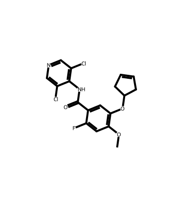 COc1cc(F)c(C(=O)Nc2c(Cl)cncc2Cl)cc1OC1CC=CC1